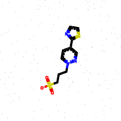 O=S(=O)([O-])CCC[n+]1ccc(-c2nccs2)cn1